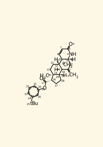 C=C1C[C@H]2NC(=O)C=C[C@]2(C)[C@H]2CC[C@]3(C)[C@@H](C(=O)Oc4cccc(C(C)(C)C)c4)CC[C@H]3[C@H]12